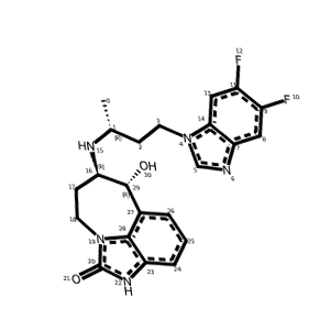 C[C@H](CCn1cnc2cc(F)c(F)cc21)N[C@@H]1CCn2c(=O)[nH]c3cccc(c32)[C@H]1O